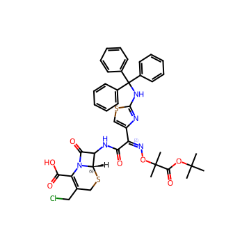 CC(C)(C)OC(=O)C(C)(C)O/N=C(\C(=O)NC1C(=O)N2C(C(=O)O)=C(CCl)CS[C@@H]12)c1csc(NC(c2ccccc2)(c2ccccc2)c2ccccc2)n1